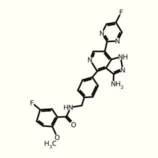 COc1ccc(F)cc1C(=O)NCc1ccc(-c2ncc(-c3ncc(F)cn3)c3[nH]nc(N)c23)cc1